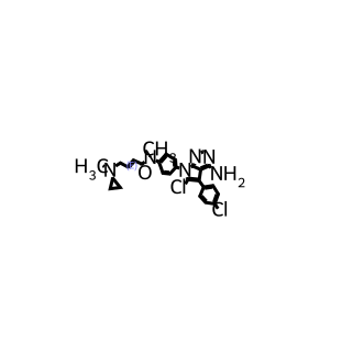 CN(C(=O)/C=C/CN(C)C1CC1)c1ccc(-n2c(Cl)c(-c3ccc(Cl)cc3)c3c(N)ncnc32)cc1